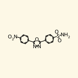 NS(=O)(=O)c1ccc(-c2nnc(-c3ccc([N+](=O)[O-])cc3)o2)cc1